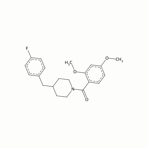 COc1ccc(C(=O)N2CCC(Cc3ccc(F)cc3)CC2)c(OC)c1